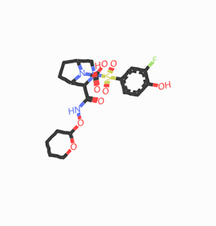 O=C(NOC1CCCCO1)C1C2CCC(CN1S(=O)(=O)c1ccc(O)c(F)c1)N2C(=O)O